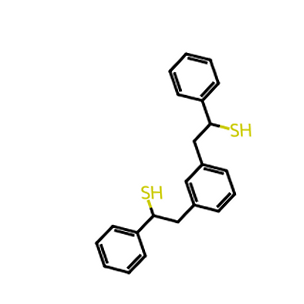 SC(Cc1cccc(CC(S)c2ccccc2)c1)c1ccccc1